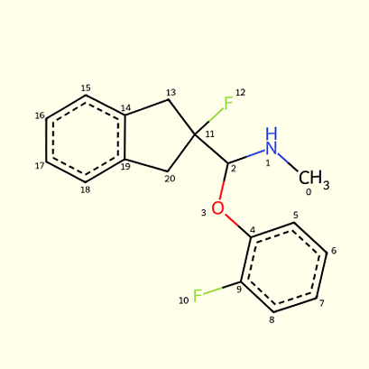 CNC(Oc1ccccc1F)C1(F)Cc2ccccc2C1